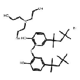 CC(C)(C)CC(C)(C)c1ccc(O)c(Sc2cc(C(C)(C)CC(C)(C)C)ccc2O)c1.OCCN(CCO)CCO.[Ni]